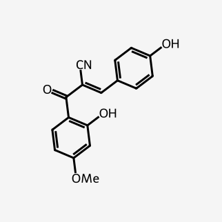 COc1ccc(C(=O)C(C#N)=Cc2ccc(O)cc2)c(O)c1